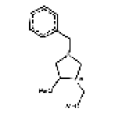 COC[C@H]1CN(Cc2ccccc2)CC1OC